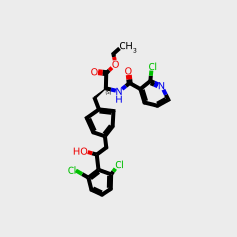 CCOC(=O)[C@H](Cc1ccc(CC(O)c2c(Cl)cccc2Cl)cc1)NC(=O)c1cccnc1Cl